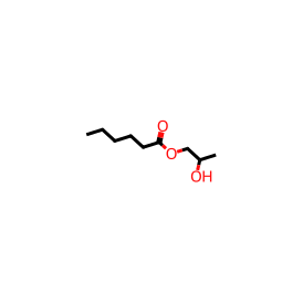 CCCCCC(=O)OCC(C)O